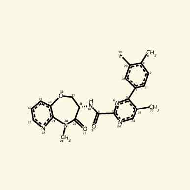 Cc1ccc(-c2nc(C(=O)N[C@H]3COc4cccnc4N(C)C3=O)ncc2C)cc1F